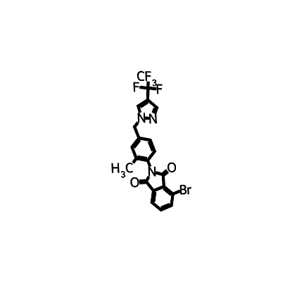 Cc1cc(Cn2cc(C(F)(F)C(F)(F)F)cn2)ccc1N1C(=O)c2cccc(Br)c2C1=O